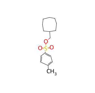 Cc1ccc(S(=O)(=O)OCC2CCCCCCC2)cc1